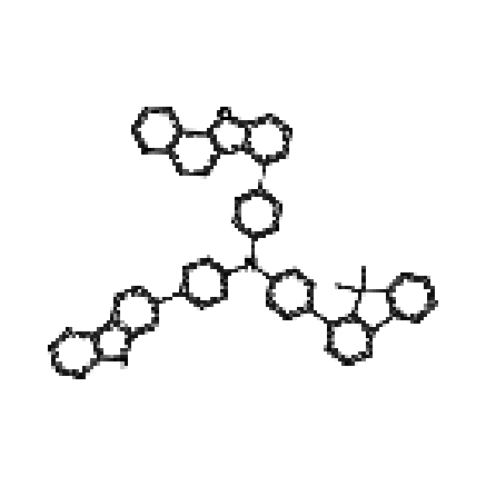 CC1(C)c2ccccc2-c2cccc(-c3ccc(N(c4ccc(-c5ccc6c(c5)sc5ccccc56)cc4)c4ccc(-c5cccc6oc7c8ccccc8ccc7c56)cc4)cc3)c21